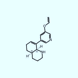 C=COc1cncc(C2=CCC[C@@H]3CCCN[C@H]23)c1